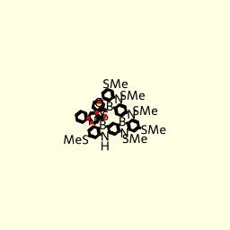 CSc1cc2c3c(c1)N(SC)c1cc4c(cc1B3c1sc3ccccc3c1O2)B1c2cc3c(cc2N(SC)c2cc(SC)cc(c21)N4SC)Nc1cc(SC)cc2c1B3c1sc3ccccc3c1N2c1ccccc1